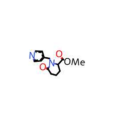 COC(=O)C1CCCC(=O)N1Cc1ccncc1